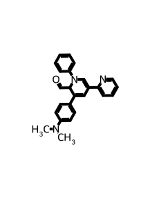 CN(C)c1ccc(C2=CC(c3ccccn3)=CN(c3ccccc3)C2C=O)cc1